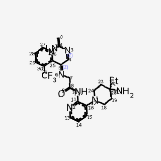 C=C(N)/N=C\C(=N/CC(=O)Nc1ncccc1N1CCC(N)(CC)CC1)c1ncccc1C(F)(F)F